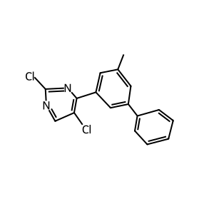 Cc1cc(-c2ccccc2)cc(-c2nc(Cl)ncc2Cl)c1